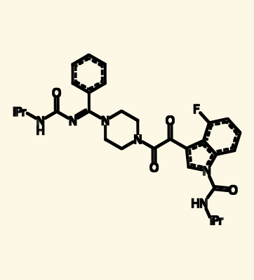 CC(C)NC(=O)/N=C(\c1ccccc1)N1CCN(C(=O)C(=O)c2cn(C(=O)NC(C)C)c3cccc(F)c23)CC1